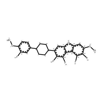 CCCOc1ccc(C2CCC(c3cc4oc5cc(OCC)c(F)c(F)c5c4c(F)c3F)CC2)cc1F